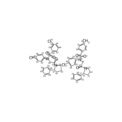 Cc1ccc(S(=O)(=O)N(CC(=O)N2CCCC2c2ccccc2)c2ccc(Cl)cc2)cc1.O=C(CN(c1ccc(Cl)cc1)S(=O)(=O)c1cccc(Cl)c1)N1CCCC1c1ccccc1